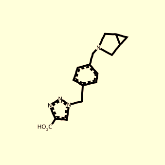 O=C(O)c1cn(Cc2ccc(CN3CC4CC4C3)cc2)nn1